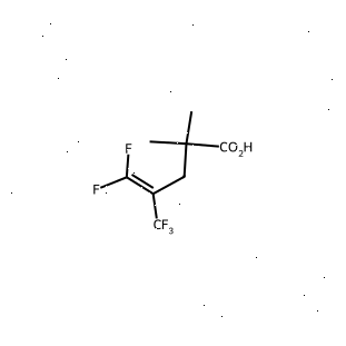 CC(C)(CC(=C(F)F)C(F)(F)F)C(=O)O